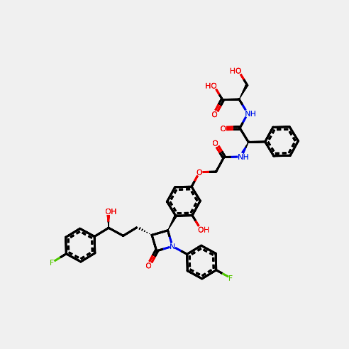 O=C(COc1ccc([C@@H]2[C@@H](CC[C@H](O)c3ccc(F)cc3)C(=O)N2c2ccc(F)cc2)c(O)c1)N[C@@H](C(=O)N[C@H](CO)C(=O)O)c1ccccc1